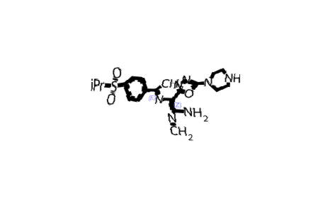 C=N/C(N)=C(\N=C(/C)c1ccc(S(=O)(=O)C(C)C)cc1)c1nnc(N2CCNCC2)o1